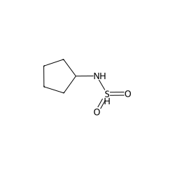 O=[SH](=O)NC1CCCC1